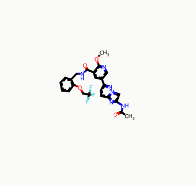 COc1ncc(-c2ccc3nc(NC(C)=O)cn3n2)cc1C(=O)NCc1ccccc1OCC(F)(F)F